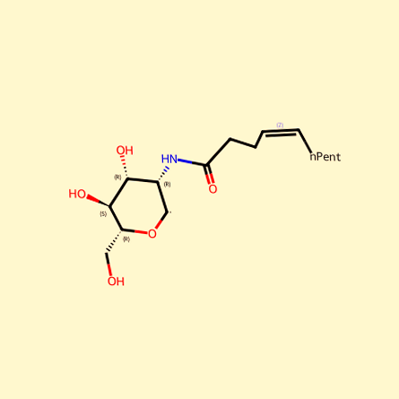 CCCCC/C=C\CCC(=O)N[C@@H]1[CH]O[C@H](CO)[C@@H](O)[C@@H]1O